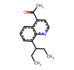 CCC(CC)c1cccc2c(C(C)=O)ccnc12